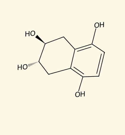 Oc1ccc(O)c2c1C[C@H](O)[C@@H](O)C2